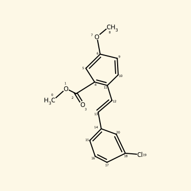 COC(=O)c1cc(OC)ccc1/C=C/c1cccc(Cl)c1